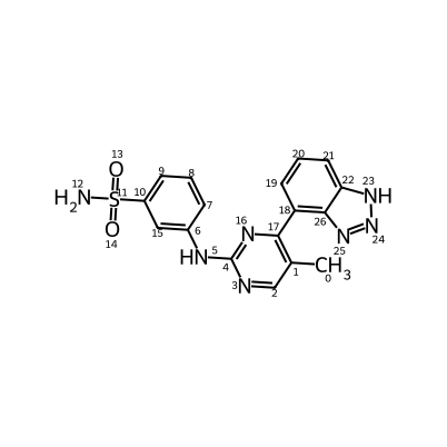 Cc1cnc(Nc2cccc(S(N)(=O)=O)c2)nc1-c1cccc2[nH]nnc12